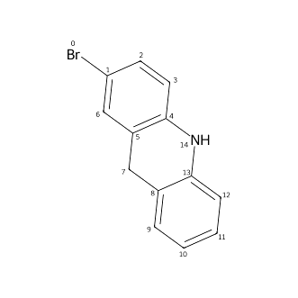 Brc1ccc2c(c1)Cc1ccccc1N2